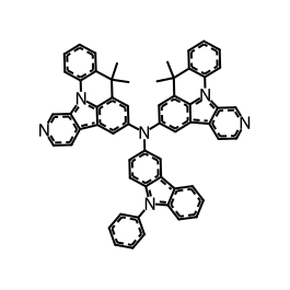 CC1(C)c2ccccc2-n2c3cnccc3c3cc(N(c4ccc5c(c4)c4ccccc4n5-c4ccccc4)c4cc5c6c(c4)c4ccncc4n6-c4ccccc4C5(C)C)cc1c32